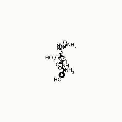 NC(=O)Cn1nnnc1SCC1=C(C(=O)O)N2C(=O)C(NC(=O)C(N)c3ccc(O)cc3)[C@@H]2SC1